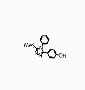 [CH2]Sc1nnc(-c2ccc(O)cc2)n1-c1ccccc1